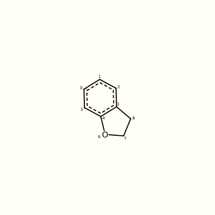 [c]1ccc2c(c1)OCC2